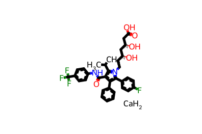 CC(C)c1c(C(=O)Nc2ccc(C(F)(F)F)cc2)c(-c2ccccc2)c(-c2ccc(F)cc2)n1CC[C@@H](O)C[C@@H](O)CC(=O)O.[CaH2]